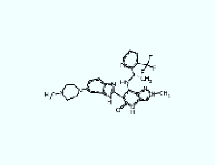 C[C@H](Nc1c(-c2nc3ccc(N4CCN(C)CC4)cc3[nH]2)c(=O)[nH]c2cn(C)nc12)c1ncccc1C(F)(F)F